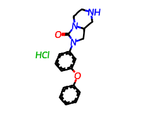 Cl.O=C1N(c2cccc(Oc3ccccc3)c2)CC2CNCCN12